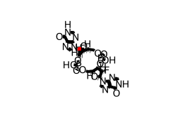 O=c1[nH]cnc2c1ncn2[C@@H]1O[C@@H]2COP(=O)(O)O[C@@H]3[C@@H](F)[C@@H](COP(=O)(O)O[C@H]2[C@H]1F)O[C@H]3n1cnc2c(=O)[nH]cnc21